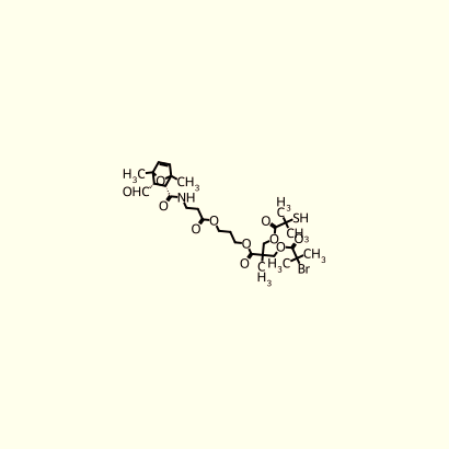 CC(C)(S)C(=O)OCC(C)(COC(=O)C(C)(C)Br)C(=O)OCCCOC(=O)CCNC(=O)[C@@H]1[C@H](C=O)C2(C)C=CC1(C)O2